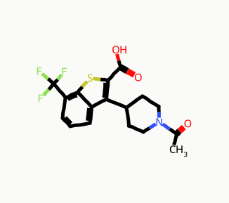 CC(=O)N1CCC(c2c(C(=O)O)sc3c(C(F)(F)F)cccc23)CC1